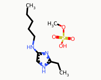 CCCCCNc1c[nH]c(CC)n1.COS(=O)(=O)O